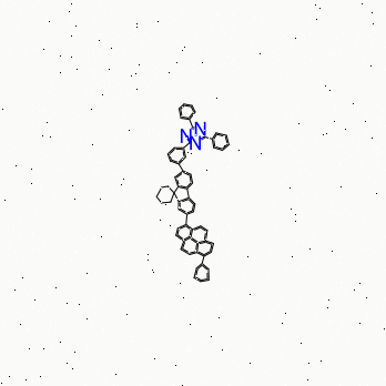 c1ccc(-c2nc(-c3ccccc3)nc(-c3cccc(-c4ccc5c(c4)C4(CCCCC4)c4cc(-c6ccc7ccc8c(-c9ccccc9)ccc9ccc6c7c98)ccc4-5)c3)n2)cc1